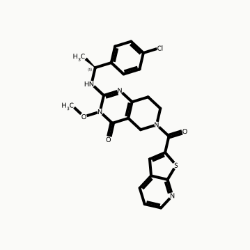 COn1c(N[C@@H](C)c2ccc(Cl)cc2)nc2c(c1=O)CN(C(=O)c1cc3cccnc3s1)CC2